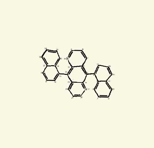 c1ccc2c(-c3c4cccnc4c(-c4cccc5ccccc45)c4cccnc34)cccc2c1